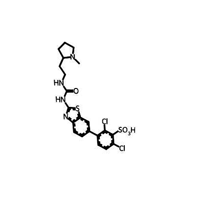 CN1CCCC1CCNC(=O)Nc1nc2ccc(-c3ccc(Cl)c(S(=O)(=O)O)c3Cl)cc2s1